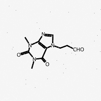 Cn1c(=O)c2c(ncn2CCC=O)n(C)c1=O